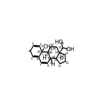 C[C@]12C=CCC=C1C=C[C@H]1[C@@H]3CCC[C@@]3(C(O)O)CC[C@@H]12